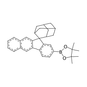 CC1(C)OB(c2ccc3c(c2)C2(c4cc5ccccc5cc4-3)C3CC4CC(C3)CC2C4)OC1(C)C